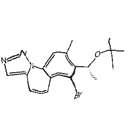 Cc1cc2c(ccc3cnnn32)c(Br)c1[C@@H](C)OC(C)(C)C